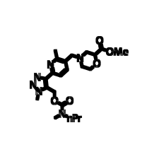 CCCN(C)C(=O)OCc1c(-c2ccc(CN3CCOC(C(=O)OC)C3)c(C)n2)nnn1C